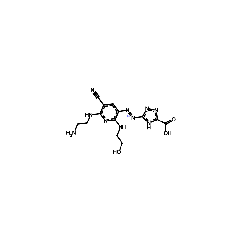 N#Cc1cc(/N=N/c2nnc(C(=O)O)[nH]2)c(NCCO)nc1NCCN